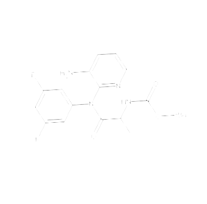 CC(NC(=O)OC(C)(C)C)C(=O)N(c1cc(F)cc(F)c1)c1ncccc1N